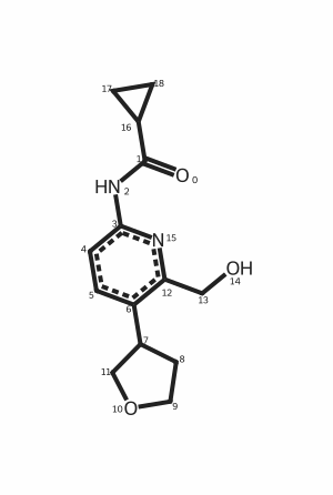 O=C(Nc1ccc(C2CCOC2)c(CO)n1)C1CC1